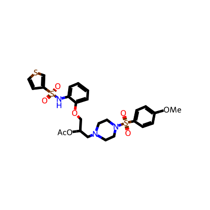 COc1ccc(S(=O)(=O)N2CCN(CC(COc3ccccc3NS(=O)(=O)c3ccsc3)OC(C)=O)CC2)cc1